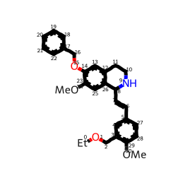 CCOCc1cc(C=CC2NCCc3cc(OCc4ccccc4)c(OC)cc32)ccc1OC